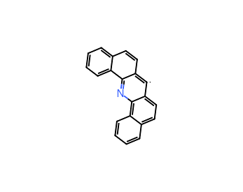 [c]1c2ccc3ccccc3c2nc2c1ccc1ccccc12